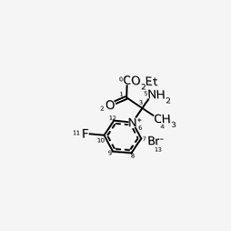 CCOC(=O)C(=O)C(C)(N)[n+]1cccc(F)c1.[Br-]